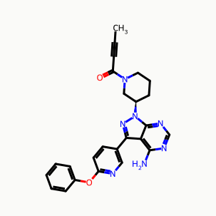 CC#CC(=O)N1CCC[C@@H](n2nc(-c3ccc(Oc4ccccc4)nc3)c3c(N)ncnc32)C1